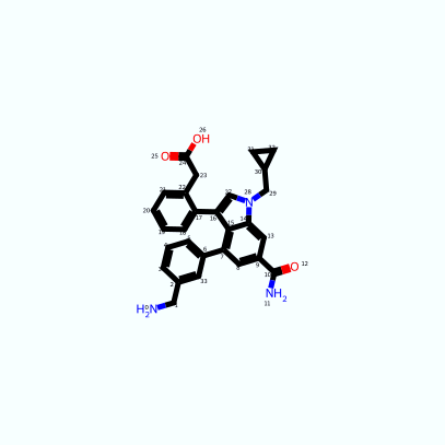 NCc1cccc(-c2cc(C(N)=O)cc3c2c(-c2ccccc2CC(=O)O)cn3CC2CC2)c1